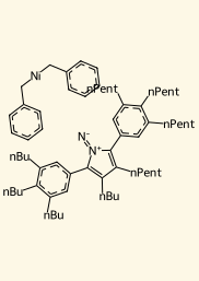 CCCCCC1=C(c2cc(CCCCC)c(CCCCC)c(CCCCC)c2)[N+](=[N-])C(c2cc(CCCC)c(CCCC)c(CCCC)c2)=C1CCCC.c1ccc([CH2][Ni][CH2]c2ccccc2)cc1